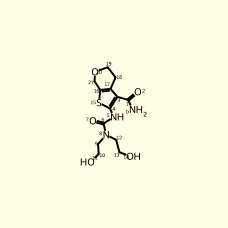 NC(=O)c1c(NC(=O)N(CCO)CCO)sc2c1CCOC2